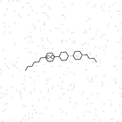 CCCCCCC12CCC(C3CCC([C@H]4CC[C@H](CCCC)CC4)CC3)(CC1)CC2